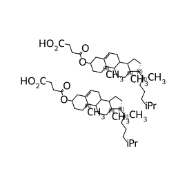 CC(C)CCC[C@@H](C)[C@H]1CCC2C3CC=C4CC(OC(=O)CCC(=O)O)CC[C@]4(C)C3CC[C@@]21C.CC(C)CCC[C@@H](C)[C@H]1CCC2C3CC=C4CC(OC(=O)CCC(=O)O)CC[C@]4(C)C3CC[C@@]21C